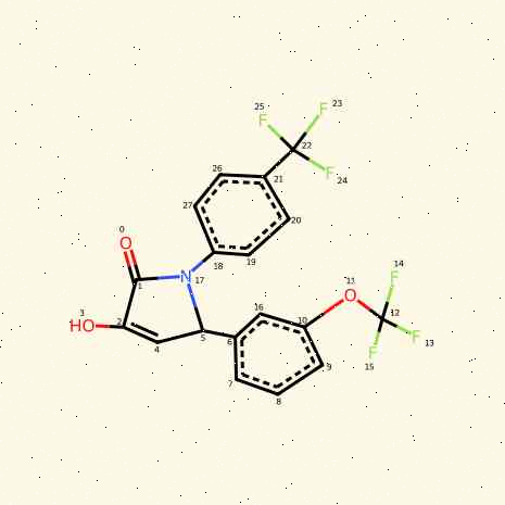 O=C1C(O)=CC(c2cccc(OC(F)(F)F)c2)N1c1ccc(C(F)(F)F)cc1